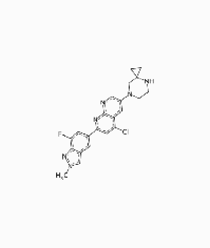 Cn1cc2cc(-c3cc(Cl)c4cc(N5CCNC6(CC6)C5)cnc4n3)cc(F)c2n1